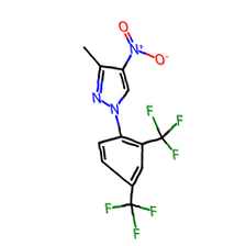 Cc1nn(-c2ccc(C(F)(F)F)cc2C(F)(F)F)cc1[N+](=O)[O-]